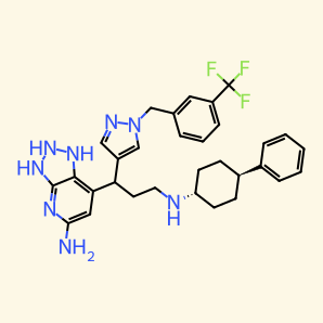 Nc1cc(C(CCN[C@H]2CC[C@H](c3ccccc3)CC2)c2cnn(Cc3cccc(C(F)(F)F)c3)c2)c2c(n1)NNN2